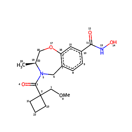 COCC1(C(=O)N2Cc3ccc(C(=O)NO)cc3OC[C@@H]2C)CCC1